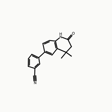 CC1(C)CC(=O)Nc2ccc(-c3cccc(C#N)c3)cc21